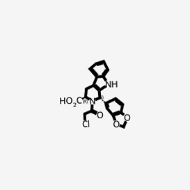 O=C(O)[C@H]1Cc2c([nH]c3ccccc23)[C@H](c2ccc3c(c2)OCO3)N1C(=O)CCl